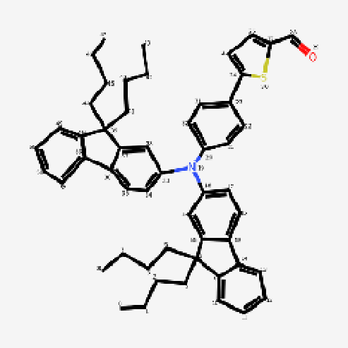 CCCCC1(CCCC)c2ccccc2-c2ccc(N(c3ccc(-c4ccc(C=O)s4)cc3)c3ccc4c(c3)C(CCCC)(CCCC)c3ccccc3-4)cc21